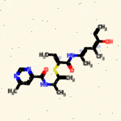 C=C/C(O)=C(\C=C(/C)NC(=O)/C(=C/C)SC(=C)C(C)NC(=O)c1cc(C)ncn1)C(F)(F)F